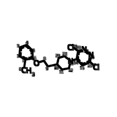 Cc1ccccc1OCCC1CCN(c2cc(Cl)nnc2Cl)CC1